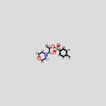 Cc1ccc(S(=O)(=O)OC(C)CN2CCOCC2)cc1